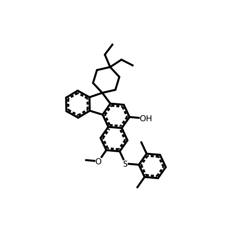 CCC1(CC)CCC2(CC1)c1ccccc1-c1c2cc(O)c2cc(Sc3c(C)cccc3C)c(OC)cc12